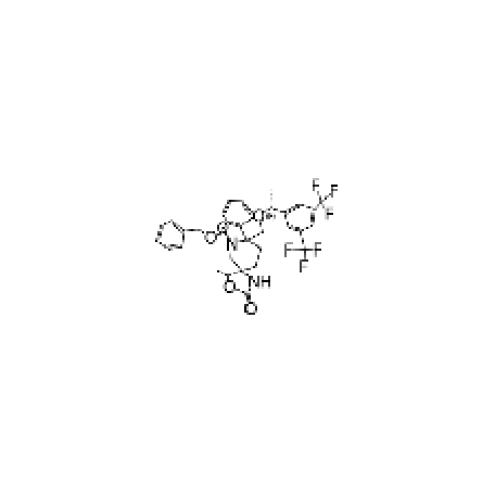 CC1OC(=O)NC12CCC(CO[C@H](C)c1cc(C(F)(F)F)cc(C(F)(F)F)c1)(c1ccccc1)N(C(=O)OCc1ccccc1)C2